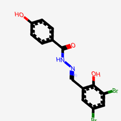 O=C(N/N=C/c1cc(Br)cc(Br)c1O)c1ccc(O)cc1